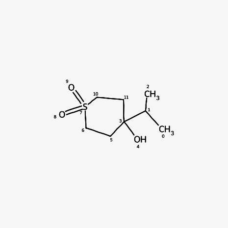 CC(C)C1(O)CCS(=O)(=O)CC1